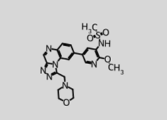 COc1ncc(-c2ccc3ncc4nnc(CN5CCOCC5)n4c3c2)cc1NS(C)(=O)=O